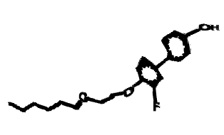 CCCCCCOCCOc1ccc(-c2ccc(O)cc2)cc1F